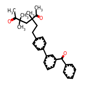 CC(=O)C(C)(C)CC(C)(CCc1ccc(-c2cccc(C(=O)c3ccccc3)c2)cc1)C(C)=O